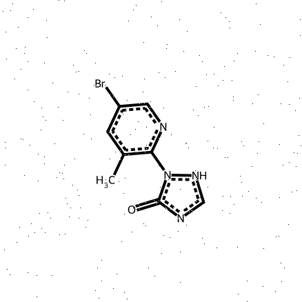 Cc1cc(Br)cnc1-n1[nH]cnc1=O